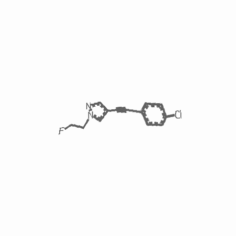 FCCn1cc(C#Cc2ccc(Cl)cc2)cn1